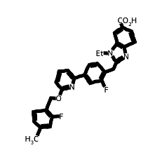 CCn1c(Cc2ccc(-c3cccc(OCc4ccc(C)cc4F)n3)cc2F)nc2ccc(C(=O)O)cc21